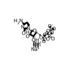 Nc1ccn([C@@H]2O[C@H](COP(=O)([O-])OP(=O)([O-])OP(=O)([O-])[O-])[C@@H](O)[C@H]2O)c(=O)n1.[Na+].[Na+].[Na+].[Na+]